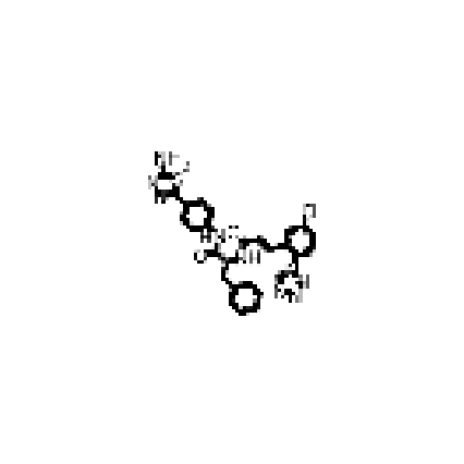 Nc1nnc(-c2ccc(NC(=O)C(Cc3ccccc3)NC(=O)/C=C/c3cc(Cl)ccc3-n3cnnn3)cc2)s1